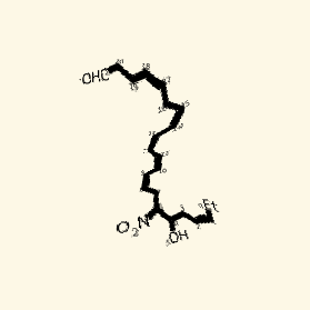 CC/C=C\CC(O)C(C\C=C/C=C\C=C/C=C\C/C=C\CC[C]=O)[N+](=O)[O-]